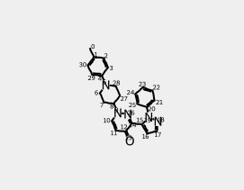 Cc1ccc(N2CCC(n3ccc(=O)c(-c4ccnn4-c4ccccc4)n3)CC2)cc1